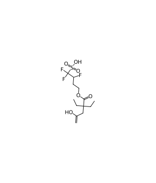 C=C(O)CC(CC)(CC)C(=O)OCCC(F)C(F)(F)S(=O)(=O)O